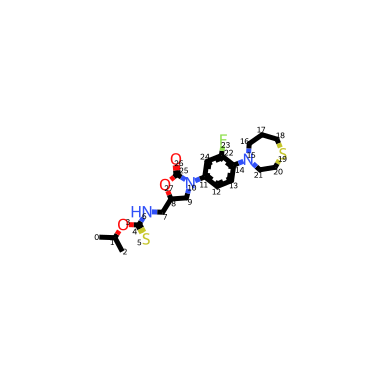 CC(C)OC(=S)NCC1CN(c2ccc(N3CCCSCC3)c(F)c2)C(=O)O1